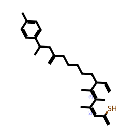 C=CC(CCCCCC(=C)CC(C)c1ccc(C)cc1)/C(C)=C(C)/C(C)=C\C(=C)S